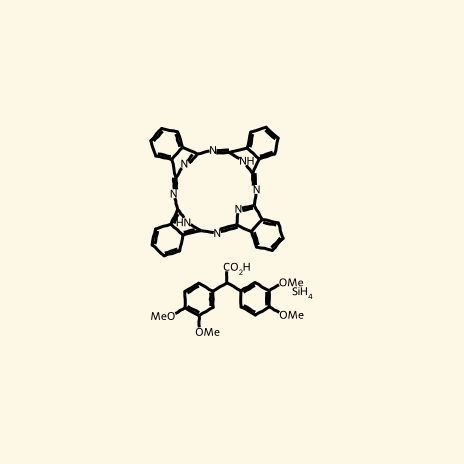 COc1ccc(C(C(=O)O)c2ccc(OC)c(OC)c2)cc1OC.[SiH4].c1ccc2c(c1)-c1nc-2nc2[nH]c(nc3nc(nc4[nH]c(n1)c1ccccc41)-c1ccccc1-3)c1ccccc21